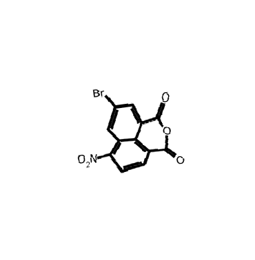 O=C1OC(=O)c2cc(Br)cc3c([N+](=O)[O-])ccc1c23